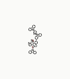 c1cnc2c(c1)C1(c3ccc(-n4c5ccccc5c5ccccc54)cc3Oc3ccc(-c4ccc5c(c4)c4ccccc4n5-c4ccc(-n5c6ccccc6c6ccccc65)cn4)cc31)c1cccnc1-2